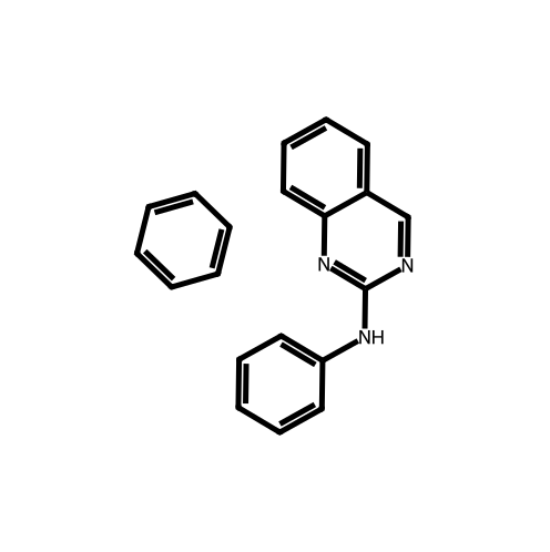 c1ccc(Nc2ncc3ccccc3n2)cc1.c1ccccc1